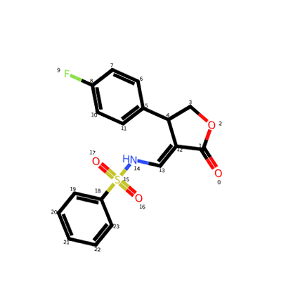 O=C1OCC(c2ccc(F)cc2)/C1=C\NS(=O)(=O)c1ccccc1